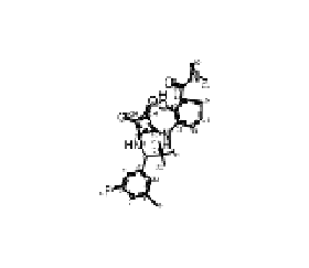 Cc1cc(F)cc(C(Nc2c(Nc3cccc(C(=O)N(C)C)c3O)c(=O)c2=O)C(C)(C)C)c1